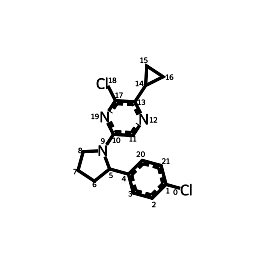 Clc1ccc(C2CCCN2c2cnc(C3CC3)c(Cl)n2)cc1